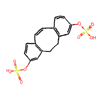 O=S(=O)(O)Oc1ccc2c(c1)CCc1cc(OS(=O)(=O)O)ccc1/C=C\2